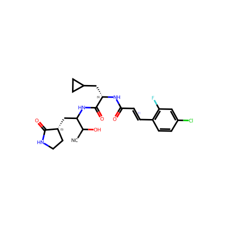 N#CC(O)C(C[C@@H]1CCNC1=O)NC(=O)[C@H](CC1CC1)NC(=O)/C=C/c1ccc(Cl)cc1F